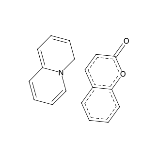 C1=CCN2C=CC=CC2=C1.O=c1ccc2ccccc2o1